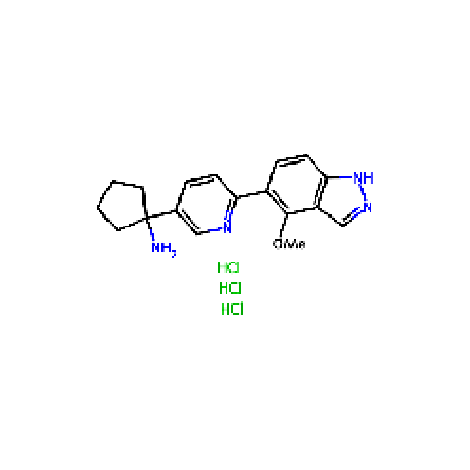 COc1c(-c2ccc(C3(N)CCCC3)cn2)ccc2[nH]ncc12.Cl.Cl.Cl